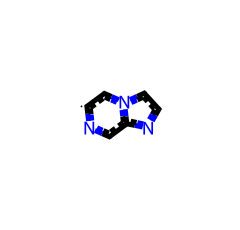 [c]1cn2ccnc2cn1